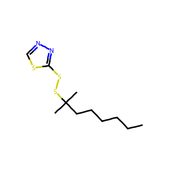 CCCCCCC(C)(C)SSc1nncs1